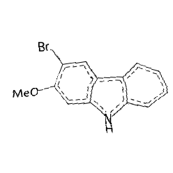 COc1cc2[nH]c3ccccc3c2cc1Br